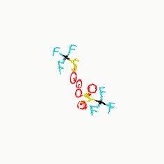 O=S(=O)(OOOSC(F)(F)F)C(F)(F)F